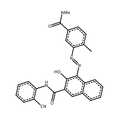 CNC(=O)c1ccc(C)c(/N=N/c2c(O)c(C(=O)Nc3ccccc3C#N)cc3ccccc23)c1